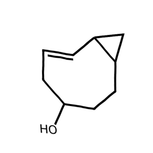 OC1C/C=C/C2CC2CC1